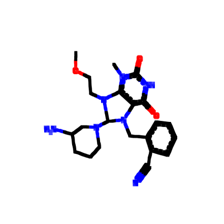 COCCN1c2c(c(=O)[nH]c(=O)n2C)N(Cc2ccccc2C#N)C1N1CCCC(N)C1